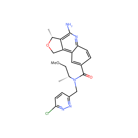 COC[C@@H](C)N(Cc1ccc(Cl)nn1)C(=O)c1ccc2nc(N)c3c(c2c1)CO[C@@H]3C